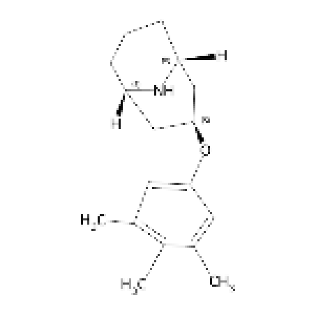 Cc1cc(O[C@@H]2C[C@H]3CCC[C@@H](C2)N3)cc(C)c1C